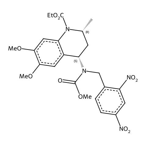 CCOC(=O)N1c2cc(OC)c(OC)cc2[C@@H](N(Cc2ccc([N+](=O)[O-])cc2[N+](=O)[O-])C(=O)OC)C[C@H]1C